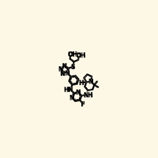 CC1(C)C[C@H](Nc2nc(Nc3cccc(-n4nnnc4SC(CO)CO)c3)ncc2F)C[C@@H]2CCCN21